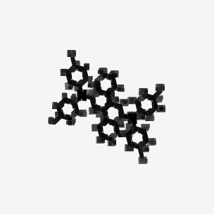 Cc1ccc(N(c2ccc(C)cc2)c2cc3c4ccccc4c(N(c4ccc(C)cc4)c4ccc(C)cc4)cc3c3ccccc23)cc1